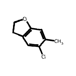 Cc1cc2c(cc1Cl)CCO2